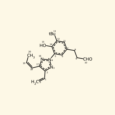 C=Cc1nn(-c2cc(CCC=O)cc(C(C)(C)C)c2O)nc1/C=C\C